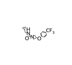 O=C(NCC1CC1)N1CC(Oc2ccc(C(F)(F)F)cc2)C1